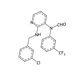 O=CN(c1cccc(C(F)(F)F)c1)c1cccnc1NCc1cccc(Cl)c1